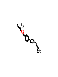 CC=CCOCc1ccc(C2CCC(CC=CCC)CC2)cc1